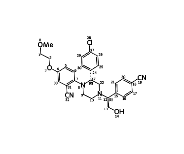 COCCOc1ccc(N2CCN([C@H](CO)c3ccc(C#N)cc3)C[C@H]2c2ccc(Cl)cc2)c(C#N)c1